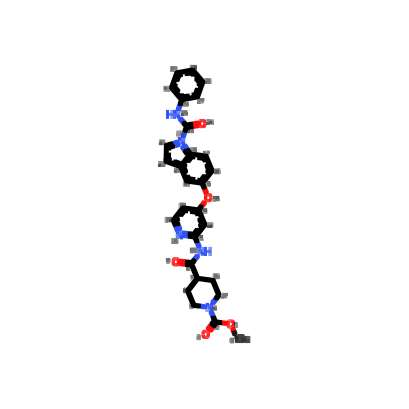 CC(C)(C)OC(=O)N1CCC(C(=O)Nc2cc(Oc3ccc4c(ccn4C(=O)Nc4ccccc4)c3)ccn2)CC1